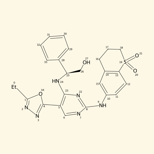 CCc1nnc(-c2cnc(Nc3ccc4c(c3)CCCS4(=O)=O)nc2N[C@H](CO)c2ccccc2)o1